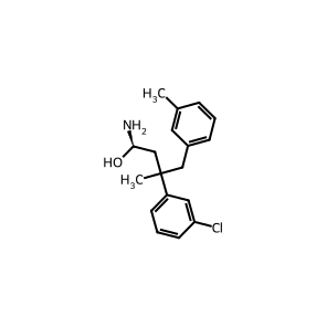 Cc1cccc(CC(C)(C[C@H](N)O)c2cccc(Cl)c2)c1